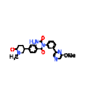 COc1cncc(-c2cccc(N(C(N)=O)C(=O)c3[c]cc(C4CCC(=O)N(C)C4)cc3)c2)n1